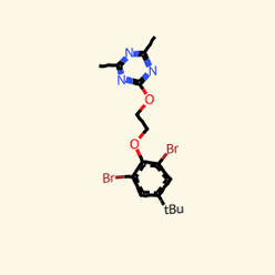 Cc1nc(C)nc(OCCOc2c(Br)cc(C(C)(C)C)cc2Br)n1